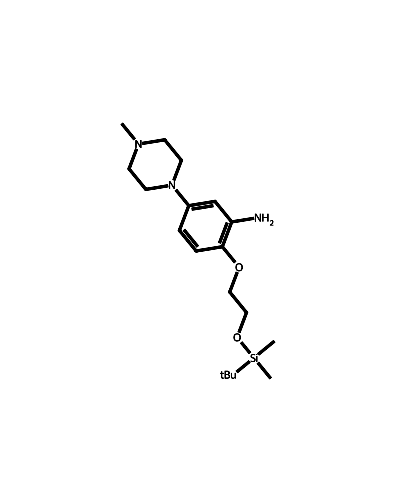 CN1CCN(c2ccc(OCCO[Si](C)(C)C(C)(C)C)c(N)c2)CC1